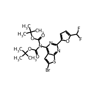 CC(C)(C)OC(=O)N(C(=O)OC(C)(C)C)c1nc(-c2ccc(C(F)F)o2)nc2sc(Br)cc12